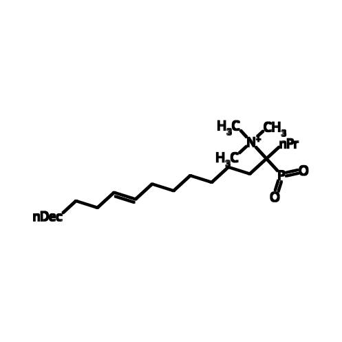 CCCCCCCCCCCCC=CCCCCCCC(CCC)(P(=O)=O)[N+](C)(C)C